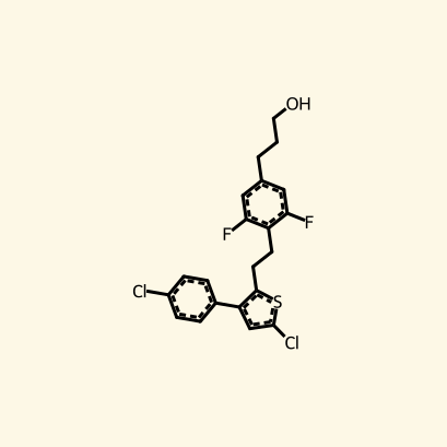 OCCCc1cc(F)c(CCc2sc(Cl)cc2-c2ccc(Cl)cc2)c(F)c1